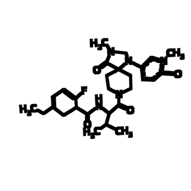 CCC1=CC=C(F)C(C(=O)NC(C(=O)N2CCC3(CC2)C(=O)N(C)CN3c2ccc(=O)n(C)c2)C(C)C)C1